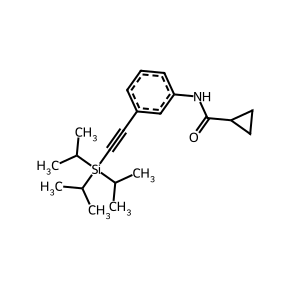 CC(C)[Si](C#Cc1cccc(NC(=O)C2CC2)c1)(C(C)C)C(C)C